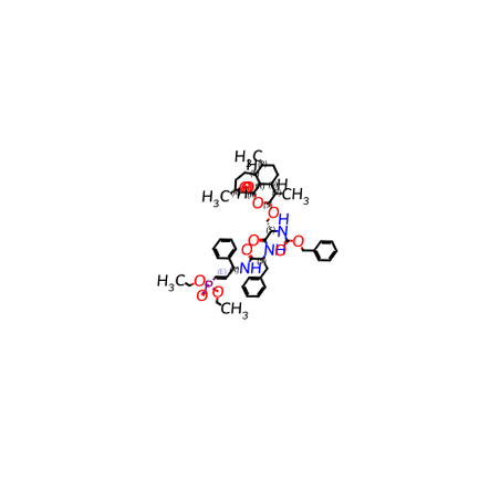 CCOP(=O)(/C=C/[C@@H](NC(=O)[C@H](Cc1ccccc1)NC(=O)[C@H](CO[C@H]1O[C@@H]2O[C@@]3(C)CC[C@H]4[C@H](C)CC[C@@H]([C@H]1C)[C@@]24OO3)NC(=O)OCc1ccccc1)c1ccccc1)OCC